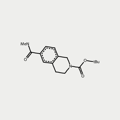 CNC(=O)c1ccc2c(c1)CCN(C(=O)OC(C)(C)C)C2